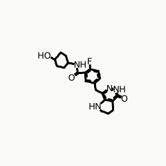 O=C(NC1CCC(O)CC1)c1cc(Cc2n[nH]c(=O)c3c2NCCC3)ccc1F